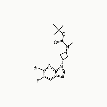 CN(C(=O)OC(C)(C)C)[C@H]1C[C@H](n2ccc3cc(F)c(Br)nc32)C1